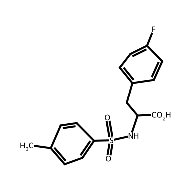 Cc1ccc(S(=O)(=O)NC(Cc2ccc(F)cc2)C(=O)O)cc1